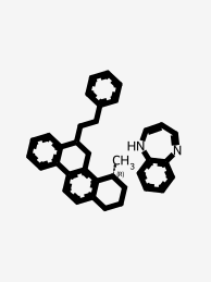 C1=CNc2ccccc2N=C1.C[C@@H]1CCCc2ccc3c(c21)CC(CCc1ccccc1)c1ccccc1-3